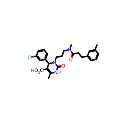 CC1=C(C(=O)O)C(c2cccc(Cl)c2)N(CCCN(C)C(=O)CCc2cccc(C)c2)C(=O)N1